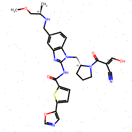 COC[C@@H](C)NCc1ccc2c(c1)nc(NC(=O)c1ccc(-c3cnco3)s1)n2C[C@H]1CCCN1C(=O)/C(C#N)=C/O